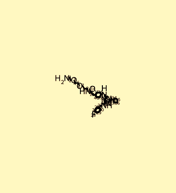 NCCOCCOCCCNC(=O)Cc1ccc(Nc2nc(NCc3ccc(F)cc3)nc(N3CCCC3)n2)cc1